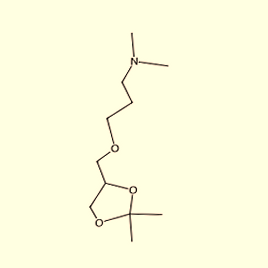 CN(C)CCCOCC1COC(C)(C)O1